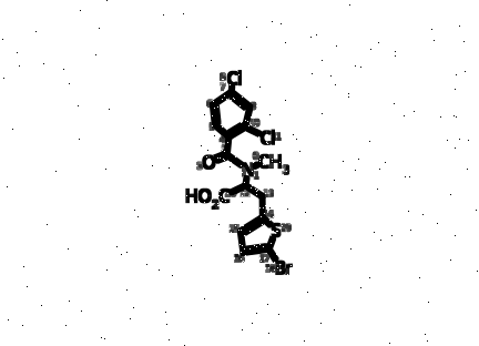 CN(C(=O)c1ccc(Cl)cc1Cl)C(Cc1ccc(Br)s1)C(=O)O